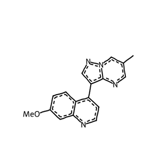 COc1ccc2c(-c3cnn4cc(C)cnc34)ccnc2c1